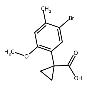 COc1cc(C)c(Br)cc1C1(C(=O)O)CC1